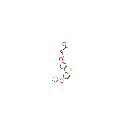 CC(=O)C1CC1COc1ccc(-c2cc(OC3CCCC3)ccc2F)cc1